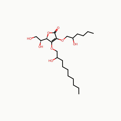 CCCCCCCCC(O)COC1=C(OCC(O)CCCC)C(=O)O[C@@H]1[C@@H](O)CO